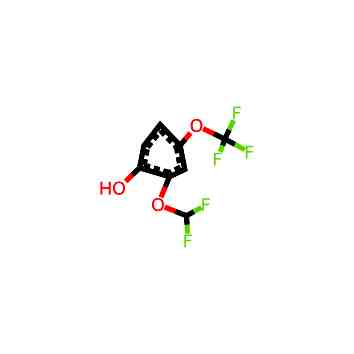 Oc1ccc(OC(F)(F)F)cc1OC(F)F